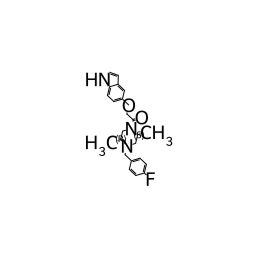 C[C@@H]1CN(C(=O)COc2ccc3[nH]ccc3c2)[C@@H](C)CN1Cc1ccc(F)cc1